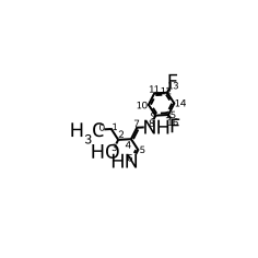 CCC(O)/C(C=N)=C/Nc1ccc(F)cc1F